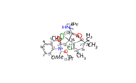 COc1cccc(C)c1N(COC(C)C)C(=O)C(Cl)C(Cl)(C(=O)NC(C)C)C1=CC(C)CC(C)(C)C1